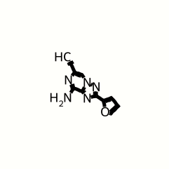 C#Cc1cn2nc(-c3ccco3)nc2c(N)n1